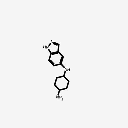 NC1CCC(Nc2ccc3[nH]ncc3c2)CC1